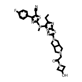 CCc1nc2sc(N3CC4CN(CC(=O)N5CC(O)C5)CC4C3)nn2c1N(C)c1nc(-c2ccc(F)cc2)c(C#N)s1